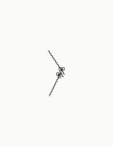 CCCCCCCCCCCCCCCCOC(=O)C(CCC)SC(CCC)C(=O)OCCCCCCCCCCCCCCCC